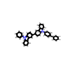 C1=CC(c2ccc3c(c2)c2ccccc2n3-c2ccccc2)Cc2c1n(-c1ccc(-c3ccccc3)cc1)c1ccccc21